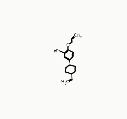 C=CCOc1ccc([C@H]2CC[C@H](C=C)CC2)cc1CCC